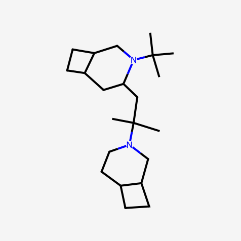 CC(C)(C)N1CC2CCC2CC1CC(C)(C)N1CCC2CCC2C1